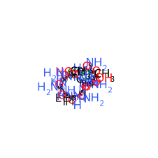 CC[C@@H]1NC(=O)[C@@H](CC(C)C)NC(=O)[C@H](CCN)NC(=O)[C@@H](NC(=O)[C@H](CN)NC(=O)[C@@H](NC(=O)[C@H](CCN)NC(=O)c2ccc(Cl)cc2Cl)C(C)O)CCNC(=O)[C@H]([C@@H](C)O)NC(=O)[C@H](CCN)NC(=O)[C@H](CCN)NC1=O